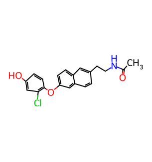 CC(=O)NCCc1ccc2cc(Oc3ccc(O)cc3Cl)ccc2c1